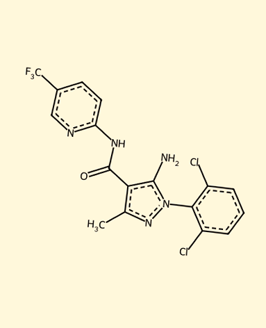 Cc1nn(-c2c(Cl)cccc2Cl)c(N)c1C(=O)Nc1ccc(C(F)(F)F)cn1